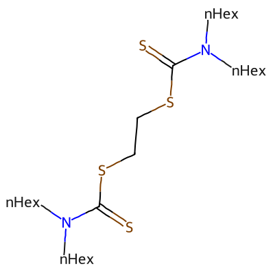 CCCCCCN(CCCCCC)C(=S)SCCSC(=S)N(CCCCCC)CCCCCC